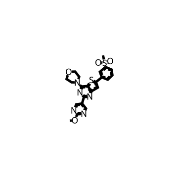 COc1ncc(-c2nc(N3CCOCC3)c3sc(-c4cccc(S(C)(=O)=O)c4)cc3n2)cn1